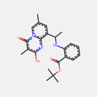 Cc1cc(C(C)Nc2ccccc2C(=O)OC(C)(C)C)c2nc(O)c(C)c(=O)n2c1